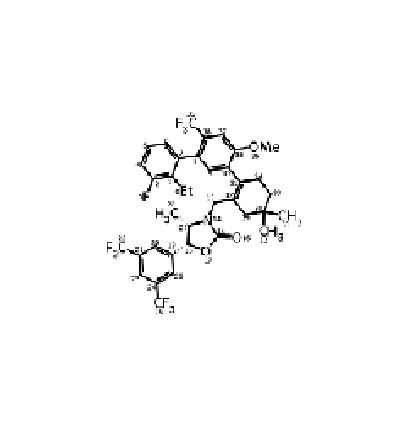 CCc1c(F)cccc1-c1cc(C2=C(CN3C(=O)O[C@H](c4cc(C(F)(F)F)cc(C(F)(F)F)c4)[C@@H]3C)CC(C)(C)CC2)c(OC)cc1C(F)(F)F